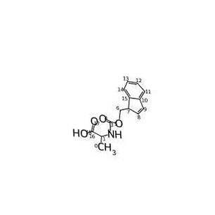 CC(NC(=O)OCC1C=Cc2ccccc21)C(=O)O